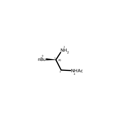 CCCC[C@@H](N)CNC(C)=O